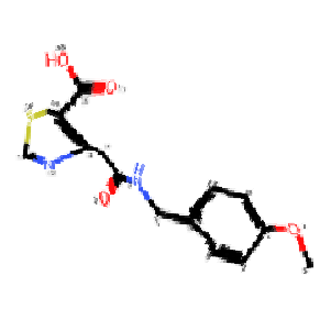 COc1ccc(CNC(=O)Cc2ncsc2C(=O)O)cc1